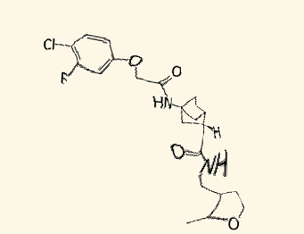 CC1OCCC1CNC(=O)[C@@H]1CC2(NC(=O)COc3ccc(Cl)c(F)c3)CC1C2